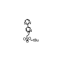 CC(C)(C)COS(=O)(=O)CC[n+]1ccc(-c2ncccn2)cn1